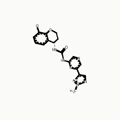 Cn1ncc(-c2cncc(NC(=O)N[C@H]3CCOc4c(Cl)cccc43)n2)n1